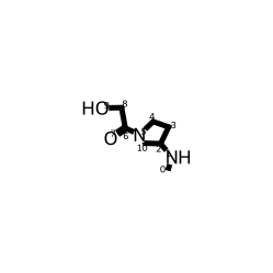 CNC1CCN(C(=O)CO)C1